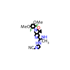 COc1cc(OC)c(F)c(N2Cc3cnc(/C(=C/NC4CCN(CC#N)C4)C(C)=N)cc3C3(CC3)C2=O)c1F